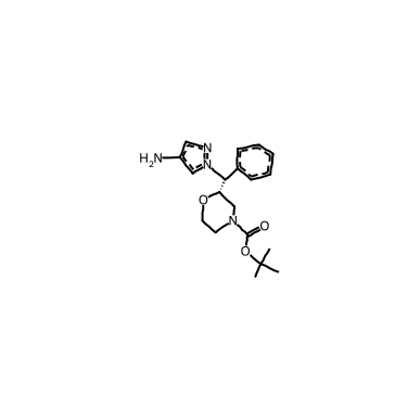 CC(C)(C)OC(=O)N1CCO[C@H](C(c2ccccc2)n2cc(N)cn2)C1